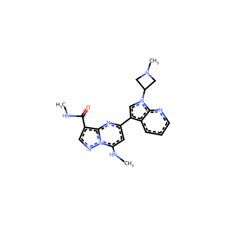 CNC(=O)c1cnn2c(NC)cc(-c3cn(C4CN(C)C4)c4ncccc34)nc12